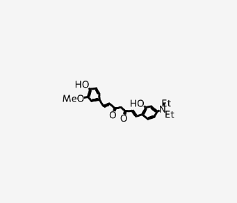 CCN(CC)c1ccc(C=CC(=O)CC(=O)C=Cc2ccc(O)c(OC)c2)c(O)c1